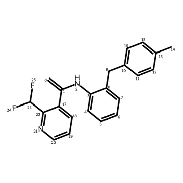 C=C(Nc1ccccc1Cc1ccc(C)cc1)c1cccnc1C(F)F